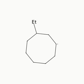 CCC1C[CH]CCCCC1